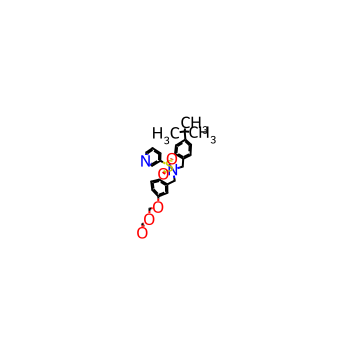 CC(C)(C)c1ccc(CN(Cc2cccc(OCOC=O)c2)S(=O)(=O)c2cccnc2)cc1